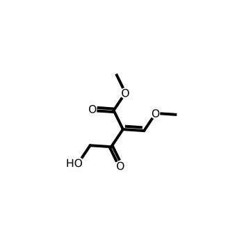 CO/C=C(/C(=O)CO)C(=O)OC